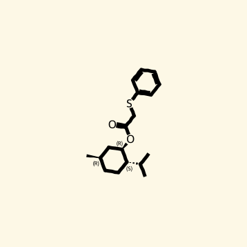 CC(C)[C@@H]1CC[C@@H](C)C[C@H]1OC(=O)CSc1ccccc1